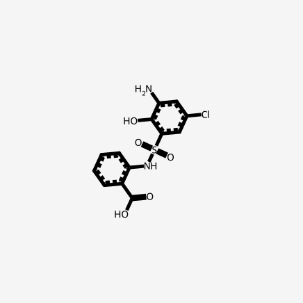 Nc1cc(Cl)cc(S(=O)(=O)Nc2ccccc2C(=O)O)c1O